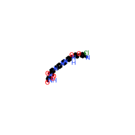 CC1(C)[C@H](NC(=O)c2ccc(N3CCN(C4CCC5(CC4)CN(c4ccc6c(c4)C(=O)N(C4CCC(=O)NC4=O)C6=O)C5)CC3)cc2)C(C)(C)[C@H]1Oc1ccc(C#N)c(Cl)c1